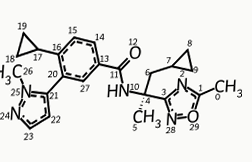 Cc1nc([C@](C)(CC2CC2)NC(=O)c2ccc(C3CC3)c(-c3ccnn3C)c2)no1